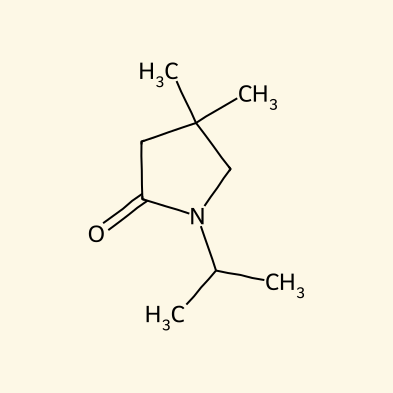 CC(C)N1CC(C)(C)CC1=O